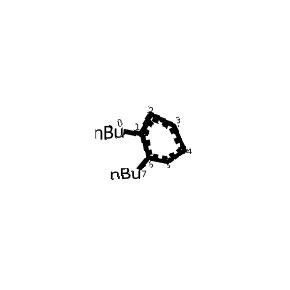 CCCCc1c[c]ccc1CCCC